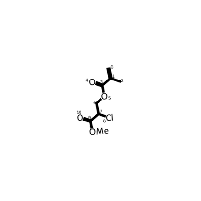 C=C(C)C(=O)OCC(Cl)C(=O)OC